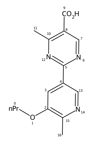 CCCOc1cc(-c2ncc(C(=O)O)c(C)n2)cnc1C